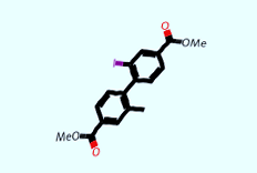 COC(=O)c1ccc(-c2ccc(C(=O)OC)cc2I)c(C)c1